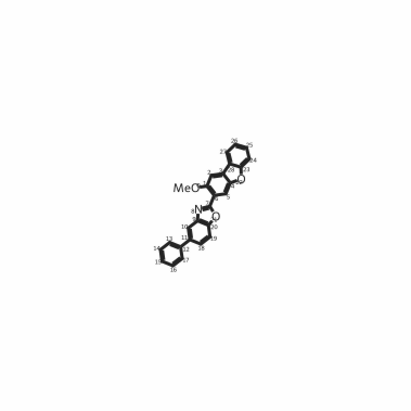 COc1cc2c(cc1-c1nc3cc(-c4ccccc4)ccc3o1)oc1ccccc12